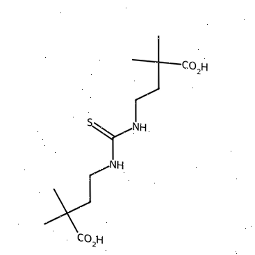 CC(C)(CCNC(=S)NCCC(C)(C)C(=O)O)C(=O)O